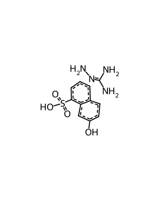 NN=C(N)N.O=S(=O)(O)c1cccc2ccc(O)cc12